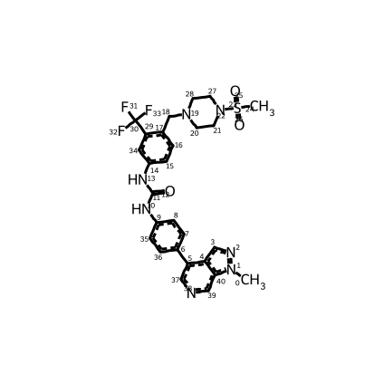 Cn1ncc2c(-c3ccc(NC(=O)Nc4ccc(CN5CCN(S(C)(=O)=O)CC5)c(C(F)(F)F)c4)cc3)cncc21